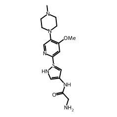 COc1cc(S2=CC(NC(=O)CN)=CN2)ncc1N1CCN(C)CC1